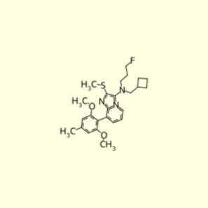 COc1cc(C)cc(OC)c1-c1cccn2c(N(CCCF)CC3CCC3)c(SC)nc12